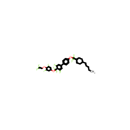 CCCCCC1CCC(C(F)(F)Oc2ccc(-c3cc(F)c(C(F)(F)Oc4cc(F)c(OC=C(F)F)c(F)c4)c(F)c3)cc2)CC1